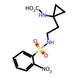 O=C(O)NC1(CCNS(=O)(=O)c2ccccc2[N+](=O)[O-])CC1